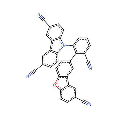 N#Cc1ccc2oc3ccc(-c4c(C#N)cccc4-n4c5ccc(C#N)cc5c5cc(C#N)ccc54)cc3c2c1